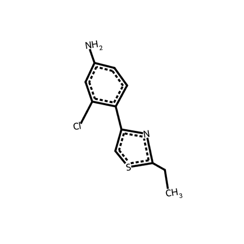 CCc1nc(-c2ccc(N)cc2Cl)cs1